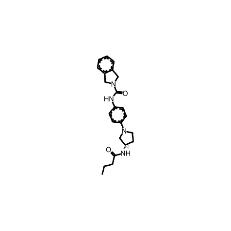 CCCC(=O)N[C@H]1CCN(c2ccc(NC(=O)N3Cc4ccccc4C3)cc2)C1